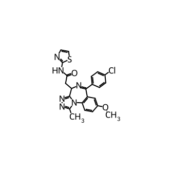 COc1ccc2c(c1)C(c1ccc(Cl)cc1)=NC(CC(=O)Nc1nccs1)c1nnc(C)n1-2